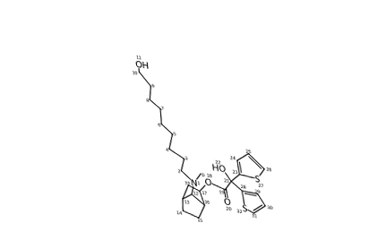 CN(CCCCCCCCCO)C1C2CCC1C(OC(=O)C(O)(c1cccs1)c1cccs1)C2